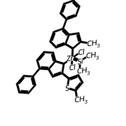 CC1=Cc2c(-c3ccccc3)cccc2[CH]1[Zr]([Cl])([Cl])([CH]1C(c2ccc(C)s2)=Cc2c(-c3ccccc3)cccc21)=[Si](C)C